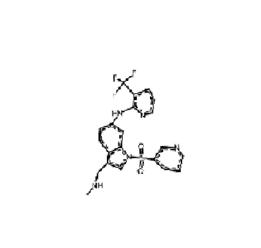 CNCc1cn(S(=O)(=O)c2cccnc2)c2cc(Nc3ncccc3C(F)(F)F)ccc12